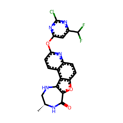 C[C@@H]1CNc2c(oc3ccc4nc(Oc5cc(C(F)F)nc(Cl)n5)ccc4c23)C(=O)N1